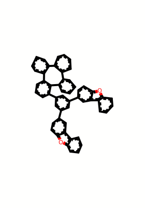 c1ccc2c(c1)-c1ccccc1-c1cccc(-c3cc(-c4ccc5oc6ccccc6c5c4)cc(-c4ccc5oc6ccccc6c5c4)c3)c1-c1ccccc1-2